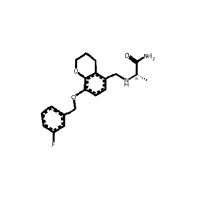 C[C@H](NCc1ccc(OCc2cccc(F)c2)c2c1CCCO2)C(N)=O